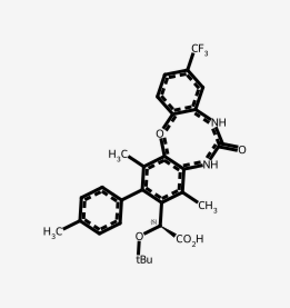 Cc1ccc(-c2c([C@H](OC(C)(C)C)C(=O)O)c(C)c3[nH]c(=O)[nH]c4cc(C(F)(F)F)ccc4oc3c2C)cc1